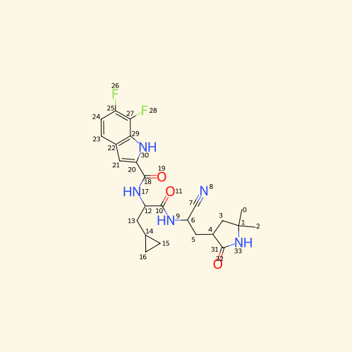 CC1(C)CC(CC(C#N)NC(=O)C(CC2CC2)NC(=O)c2cc3ccc(F)c(F)c3[nH]2)C(=O)N1